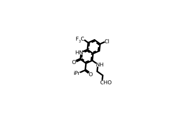 CC(C)C(=O)c1c(NCCC=O)c2cc(Cl)cc(C(F)(F)F)c2[nH]c1=O